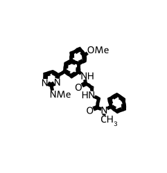 CNc1nccc(-c2cc(NC(=O)CNCC(=O)N(C)c3ccccc3)c3cc(OC)ccc3c2)n1